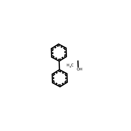 C.CO.c1ccc(-c2ccccc2)cc1